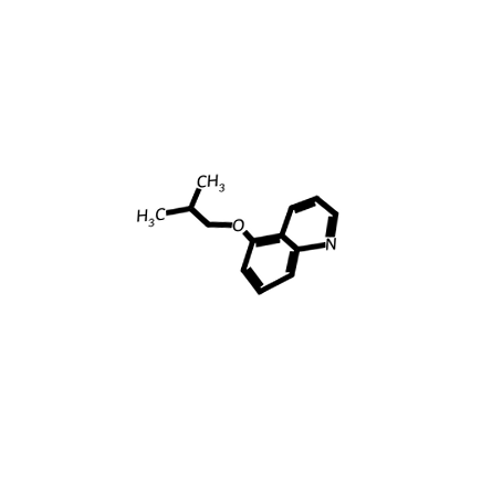 CC(C)COc1cccc2ncccc12